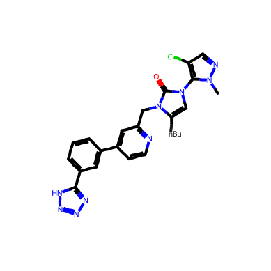 CCCCc1cn(-c2c(Cl)cnn2C)c(=O)n1Cc1cc(-c2cccc(-c3nnn[nH]3)c2)ccn1